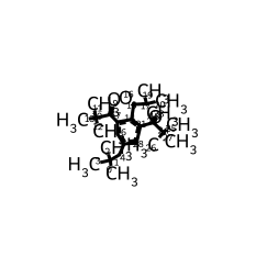 CC(C)(C)Cc1cc(C(=O)C(C)(C)C)c(C(=O)C(C)(C)C)c(C(=O)C(C)(C)C)c1